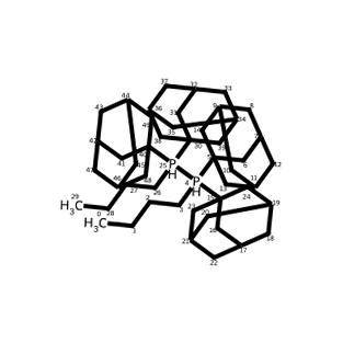 CCCC[PH](C12CC3CC(CC(C3)C1)C2)(C12CC3CC(CC(C3)C1)C2)[PH](CCCC)(C12CC3CC(CC(C3)C1)C2)C12CC3CC(CC(C3)C1)C2